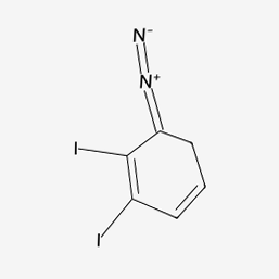 [N-]=[N+]=C1CC=CC(I)=C1I